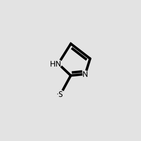 [S]c1ncc[nH]1